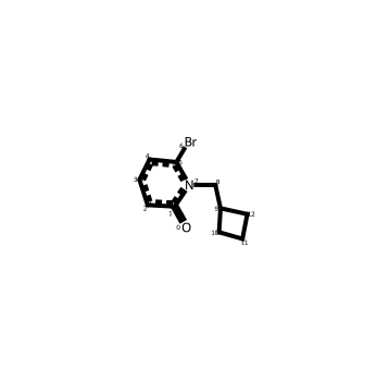 O=c1cccc(Br)n1CC1CCC1